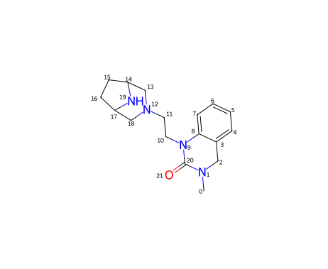 CN1Cc2ccccc2N(CCN2CC3CCC(C2)N3)C1=O